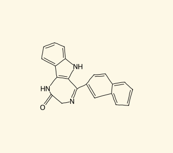 O=C1CN=C(c2ccc3ccccc3c2)c2[nH]c3ccccc3c2N1